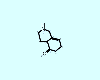 O=C1CCC=C2CNCCC12